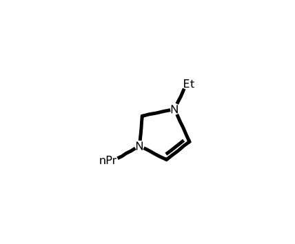 CCCN1C=CN(CC)C1